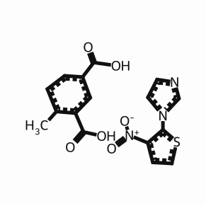 Cc1ccc(C(=O)O)cc1C(=O)O.O=[N+]([O-])c1ccsc1-n1ccnc1